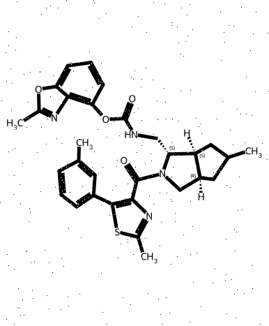 Cc1cccc(-c2sc(C)nc2C(=O)N2C[C@@H]3CC(C)C[C@@H]3[C@H]2CNC(=O)Oc2cccc3oc(C)nc23)c1